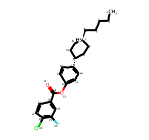 CCCCC[Si@H]1CC[C@H](c2ccc(OC(=O)c3ccc(Cl)c(F)c3)cc2)CC1